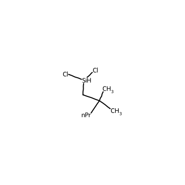 CCCC(C)(C)C[SiH](Cl)Cl